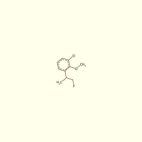 [CH2]C(CF)c1cccc(Cl)c1OC